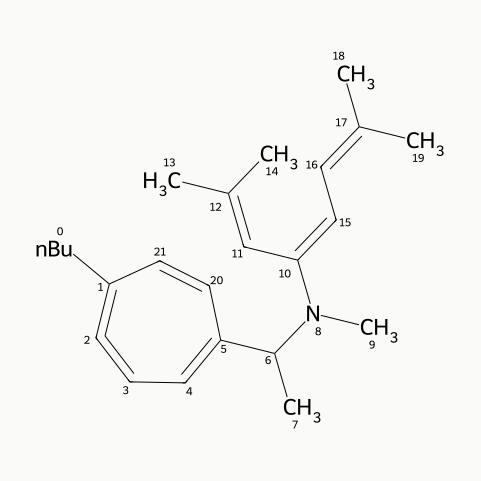 CCCCC1=C=CC=C(C(C)N(C)/C(C=C(C)C)=C/C=C(C)C)C=C1